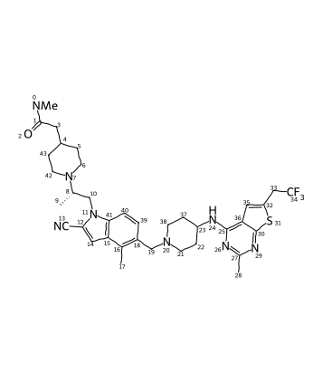 CNC(=O)CC1CCN([C@@H](C)Cn2c(C#N)cc3c(C)c(CN4CCC(Nc5nc(C)nc6sc(CC(F)(F)F)cc56)CC4)ccc32)CC1